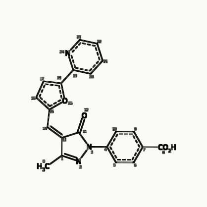 CC1=NN(c2ccc(C(=O)O)cc2)C(=O)C1=Cc1ccc(-c2ccccn2)o1